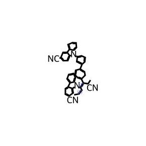 C/C=C\C(=C(\C1=CC=CC(c2cccc(-n3c4ccccc4c4cc(C#N)ccc43)c2)=CC1)C(C)C#N)n1c2ccccc2c2ccc(C#N)cc21